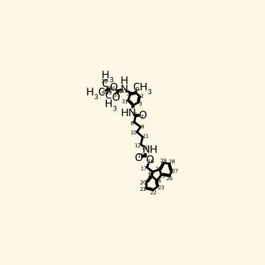 Cc1ccc(NC(=O)CCCCCNC(=O)OCC2c3ccccc3-c3ccccc32)cc1NC(=O)OC(C)(C)C